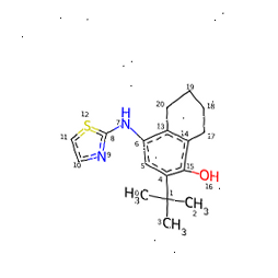 CC(C)(C)c1cc(Nc2nccs2)c2c(c1O)CCCC2